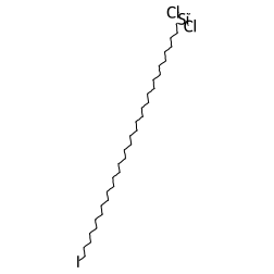 C[Si](Cl)(Cl)CCCCCCCCCCCCCCCCCCCCCCCCCCCCCCCCCCI